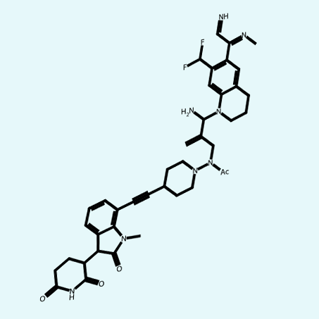 C=C(CN(C(C)=O)N1CCC(C#Cc2cccc3c2N(C)C(=O)C3C2CCC(=O)NC2=O)CC1)C(N)N1CCCc2cc(/C(C=N)=N\C)c(C(F)F)cc21